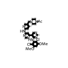 COc1cc(OC)c(Cl)c(Nc2ncncc2-c2cc(Nc3ccc(CN4CCN(C(C)=O)CC4)cn3)ncn2)c1Cl